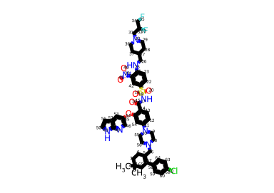 CC1(C)CCC(CN2CCN(c3ccc(C(=O)NS(=O)(=O)c4ccc(NCC5CCN(CC(F)CF)CC5)c([N+](=O)[O-])c4)c(Oc4cnc5[nH]ccc5c4)c3)CC2)=C(c2ccc(Cl)cc2)C1